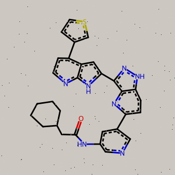 O=C(CC1CCCCC1)Nc1cncc(-c2ccc3[nH]nc(-c4cc5c(-c6ccsc6)ccnc5[nH]4)c3n2)c1